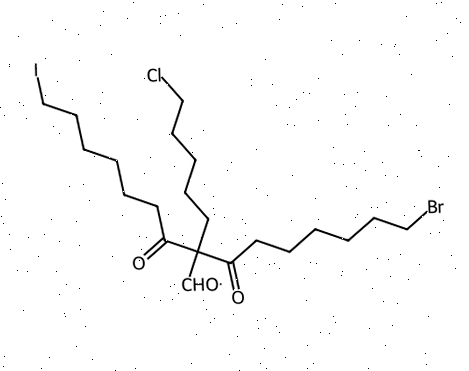 O=[C]C(CCCCCCl)(C(=O)CCCCCCBr)C(=O)CCCCCCI